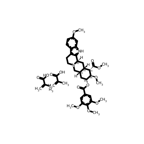 C=C(C)C(=O)O.C=C(C)C(=O)O.COC(=O)[C@H]1[C@H]2C[C@@H]3c4[nH]c5cc(OC)ccc5c4CCN3C[C@H]2C[C@@H](OC(=O)c2cc(OC)c(OC)c(OC)c2)[C@@H]1OC